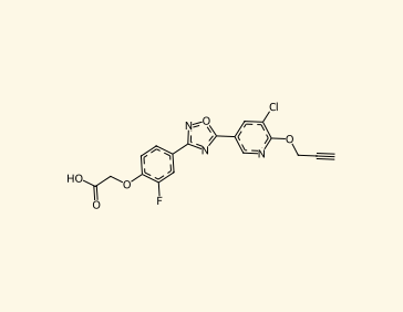 C#CCOc1ncc(-c2nc(-c3ccc(OCC(=O)O)c(F)c3)no2)cc1Cl